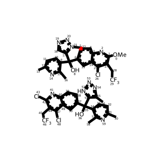 COc1nc2ccc(C(O)(c3ccc(C)nc3C)c3cnnn3C)cc2c(Cl)c1CC(F)(F)F.Cc1ccc(C(O)(c2ccc3nc(Cl)c(CC(F)(F)F)c(Cl)c3c2)c2[nH]nnc2C)c(C)n1